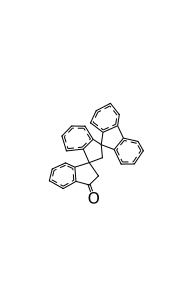 O=C1CC2(CC3(c4ccccc4-c4ccccc43)c3ccccc32)c2ccccc21